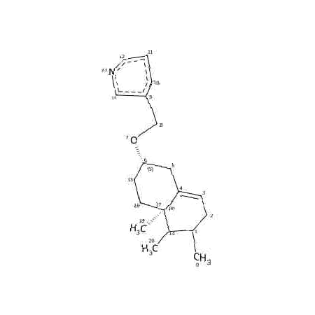 CC1CC=C2C[C@@H](OCc3cccnc3)CC[C@]2(C)C1C